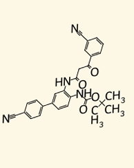 CC(C)(C)OC(=O)Nc1ccc(-c2ccc(C#N)cc2)cc1NC(=O)CC(=O)c1cccc(C#N)c1